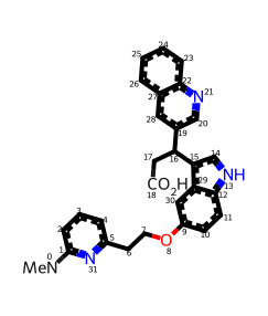 CNc1cccc(CCOc2ccc3[nH]cc(C(CC(=O)O)c4cnc5ccccc5c4)c3c2)n1